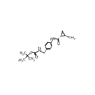 C[C@@H]1C[C@H]1C(=O)Nc1ccc(CNC(=O)OC(C)(C)C)cc1